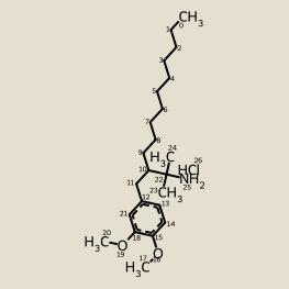 CCCCCCCCCCC(Cc1ccc(OC)c(OC)c1)C(C)(C)N.Cl